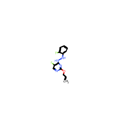 C=CCOc1ncc(F)c(NNc2ccccc2F)n1